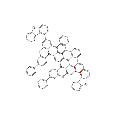 c1ccc(-c2ccc3c(c2)Sc2cc(-c4cccc5oc6ccccc6c45)cc4c2B3c2cc3c(cc2N4c2ccccc2)N(c2c(-c4ccccc4)cccc2-c2ccccc2)c2cc(-c4cccc5oc6ccccc6c45)cc4c2B3c2ccc(-c3ccccc3)cc2S4)cc1